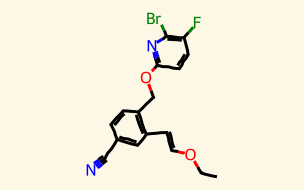 CCO/C=C/c1cc(C#N)ccc1COc1ccc(F)c(Br)n1